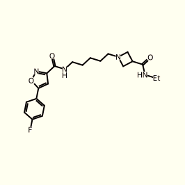 CCNC(=O)C1CN(CCCCCNC(=O)c2cc(-c3ccc(F)cc3)on2)C1